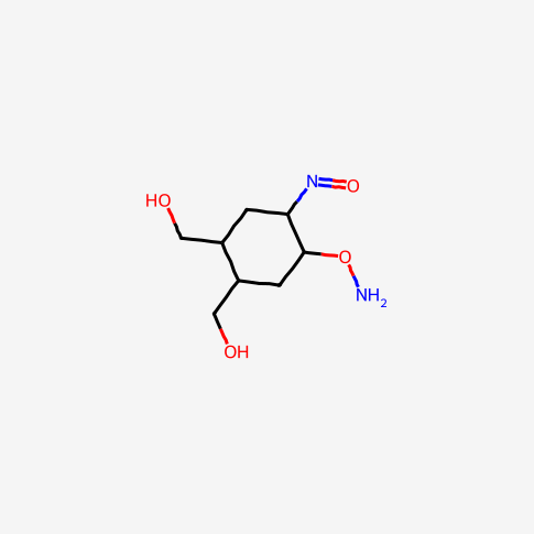 NOC1CC(CO)C(CO)CC1N=O